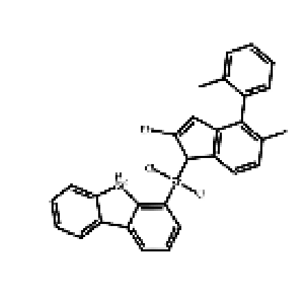 CCC1=Cc2c(ccc(C)c2-c2ccccc2C)[CH]1[Zr]([Cl])([Cl])[c]1cccc2c1[SiH2]c1ccccc1-2